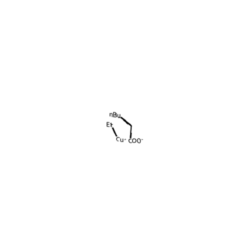 CCCCCC(=O)[O-].C[CH2][Cu+]